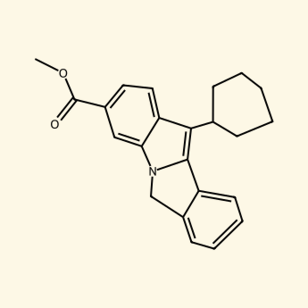 COC(=O)c1ccc2c(C3CCCCC3)c3n(c2c1)Cc1ccccc1-3